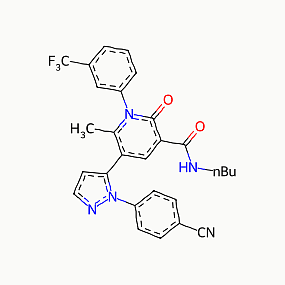 CCCCNC(=O)c1cc(-c2ccnn2-c2ccc(C#N)cc2)c(C)n(-c2cccc(C(F)(F)F)c2)c1=O